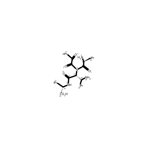 CCCC(=O)C(=O)N(C(=O)[C@@H](N)C(C)C)[C@@H](C(=O)N[C@H](C(=O)O)C(C)C)C(N)C(C)C